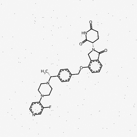 C[C@H](c1ccc(COc2cccc3c2CN([C@H]2CCC(=O)NC2=O)C3=O)cc1)N1CCN(c2ccncc2F)CC1